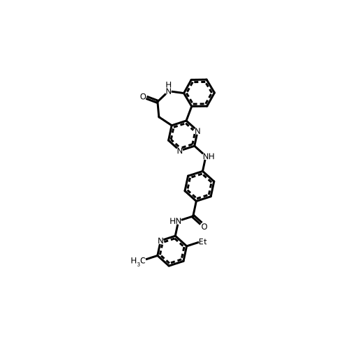 CCc1ccc(C)nc1NC(=O)c1ccc(Nc2ncc3c(n2)-c2ccccc2NC(=O)C3)cc1